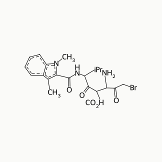 Cc1c(C(=O)NC(C(=O)C(C(=O)O)C(N)C(=O)CBr)C(C)C)n(C)c2ccccc12